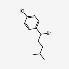 CC(C)CCC(Br)c1ccc(O)cc1